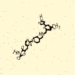 Cc1cc(CNCC2CCN(c3nccc(/C=C4/SC(=O)NC4=O)n3)CC2)nc(-c2cn[nH]c2)c1